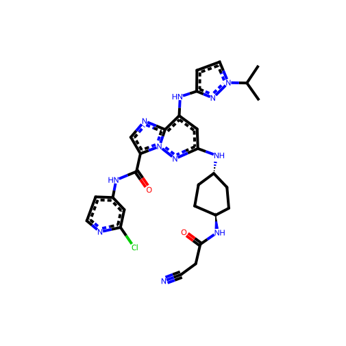 CC(C)n1ccc(Nc2cc(N[C@H]3CC[C@H](NC(=O)CC#N)CC3)nn3c(C(=O)Nc4ccnc(Cl)c4)cnc23)n1